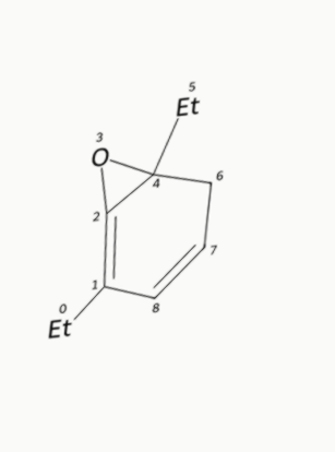 CCC1=C2OC2(CC)CC=C1